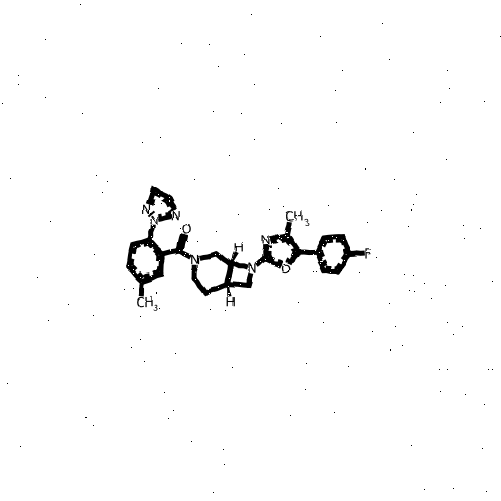 Cc1ccc(-n2nccn2)c(C(=O)N2CC[C@H]3CN(c4nc(C)c(-c5ccc(F)cc5)o4)[C@H]3C2)c1